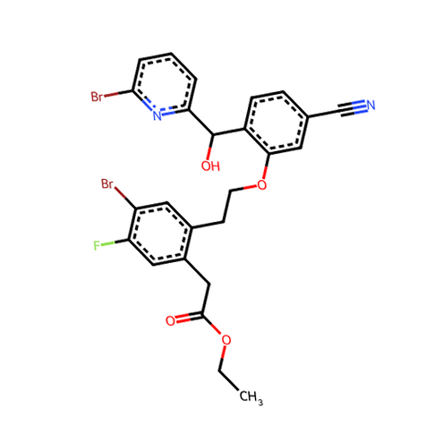 CCOC(=O)Cc1cc(F)c(Br)cc1CCOc1cc(C#N)ccc1C(O)c1cccc(Br)n1